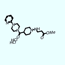 COC(=O)CCNN1CCC(C(=O)N2CCN(c3ccccn3)CC2)CC1.Cl.Cl